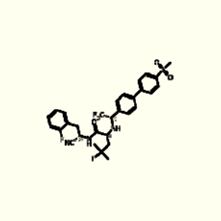 CC(C)(F)C[C@H](N[C@@H](c1ccc(-c2ccc(S(C)(=O)=O)cc2)cc1)C(F)(F)F)C(=O)N[C@H](C#N)Cc1ccccc1F